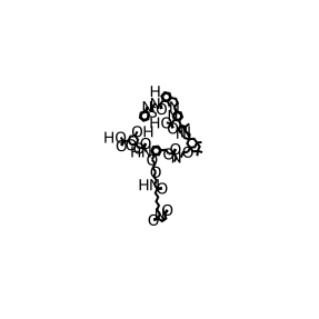 Cc1c(-c2ccc(N3CCc4cccc(C(=O)Nc5nc6ccccc6s5)c4C3)nc2C(=O)O)cnn1CC1(C)CC2(C)CC(C)(C)CC(OCCN(C)C(=O)OCc3ccc(NC(=O)OC4CC(O)CC(C(=O)O)O4)c(OCCOCCNC(=O)CCCCCN4C(=O)C=CC4=O)c3)(C1)C2